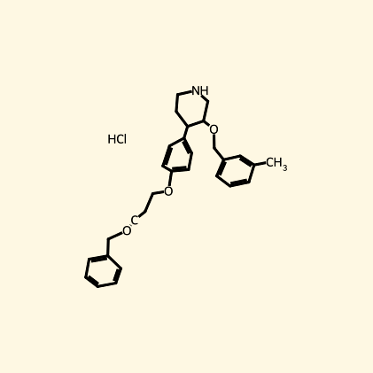 Cc1cccc(COC2CNCCC2c2ccc(OCCCOCc3ccccc3)cc2)c1.Cl